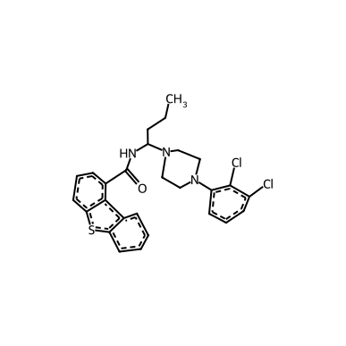 CCCC(NC(=O)c1cccc2sc3ccccc3c12)N1CCN(c2cccc(Cl)c2Cl)CC1